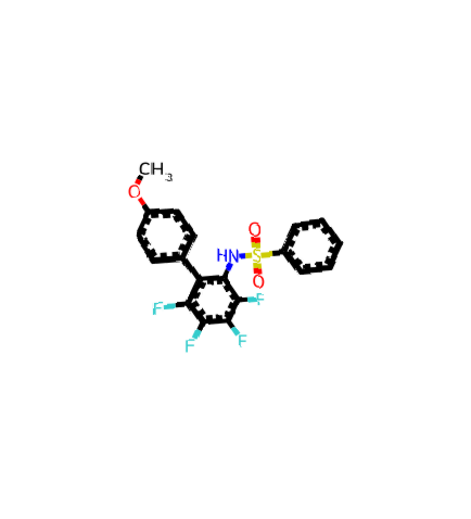 COc1ccc(-c2c(F)c(F)c(F)c(F)c2NS(=O)(=O)c2ccccc2)cc1